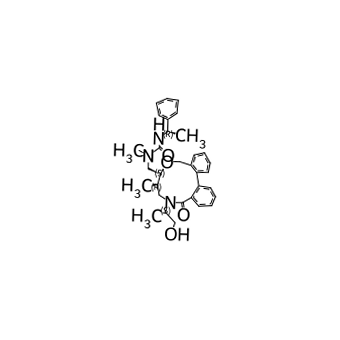 C[C@@H]1CN([C@@H](C)CO)C(=O)c2ccccc2-c2ccccc2CO[C@@H]1CN(C)C(=O)N[C@H](C)c1ccccc1